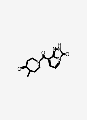 CC1CCN(C(=O)c2cccn3c(=O)[nH]nc23)CCC1=O